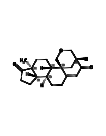 C[C@]12CC[C@H]3[C@@H](CCC4=CC(=O)[C@H]5COC[C@@]43C5)[C@@H]1CCC2=O